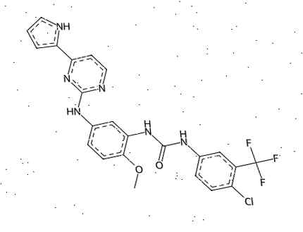 COc1ccc(Nc2nccc(-c3ccc[nH]3)n2)cc1NC(=O)Nc1ccc(Cl)c(C(F)(F)F)c1